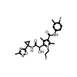 Cc1noc(C2(NC(=O)C(O)c3c(C)c(C(=O)Nc4ccc(F)c(C)c4)c(C)n3CCF)CC2)n1